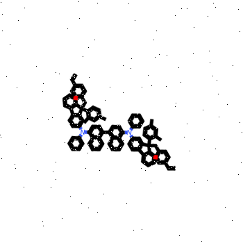 C=Cc1ccc(CC2(c3ccc(C)cc3C)c3ccccc3-c3ccc(N(c4ccccc4)c4ccc(-c5ccc(N(c6ccccc6)c6ccc7c(c6)C(Cc6ccc(C=C)cc6)(c6ccc(C)cc6C)c6ccccc6-7)c6ccccc56)c5ccccc45)cc32)cc1